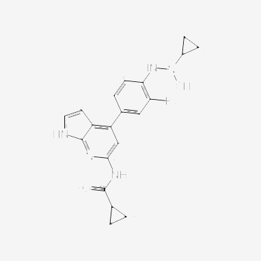 CN(Nc1ccc(-c2cc(NC(=O)C3CC3)nc3[nH]ccc23)cc1F)C1CC1